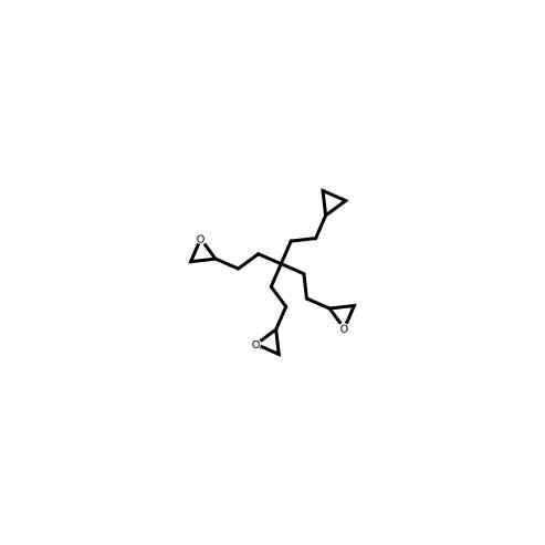 C1CC1CCC(CCC1CO1)(CCC1CO1)CCC1CO1